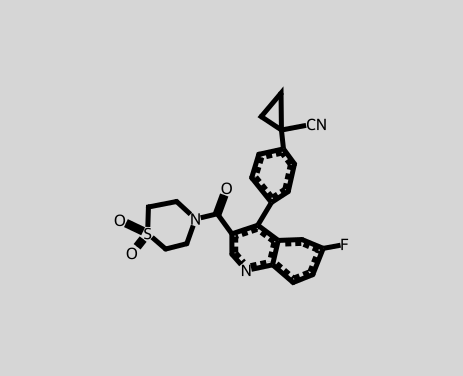 N#CC1(c2ccc(-c3c(C(=O)N4CCS(=O)(=O)CC4)cnc4ccc(F)cc34)cc2)CC1